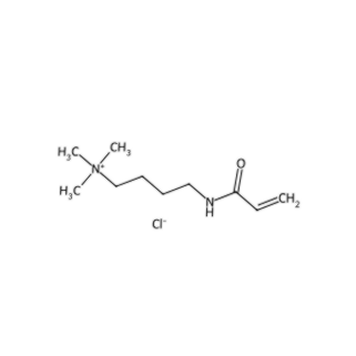 C=CC(=O)NCCCC[N+](C)(C)C.[Cl-]